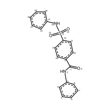 O=C(Nc1ccccc1)c1ccc(S(=O)(=O)Nc2ccccc2)cc1